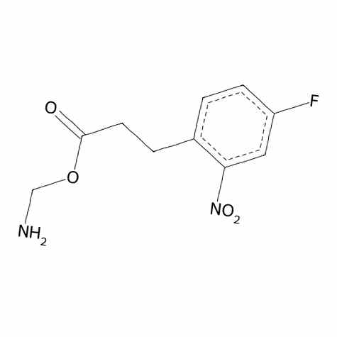 NCOC(=O)CCc1ccc(F)cc1[N+](=O)[O-]